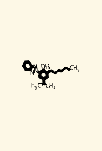 CCCCCCCc1cc(C(C)C)cc(-n2nc3ccccc3n2)c1O